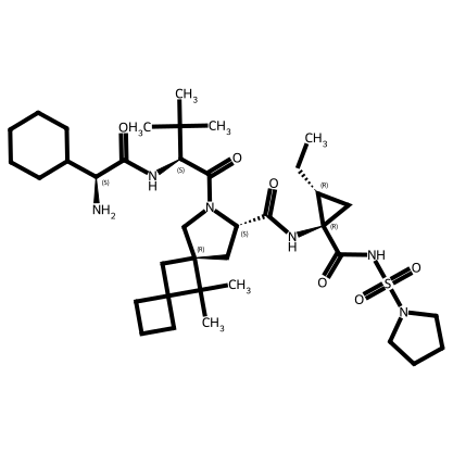 CC[C@@H]1C[C@]1(NC(=O)[C@@H]1C[C@]2(CN1C(=O)[C@@H](NC(=O)[C@@H](N)C1CCCCC1)C(C)(C)C)CC1(CCC1)C2(C)C)C(=O)NS(=O)(=O)N1CCCC1